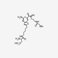 CCCN(CCCNC(=O)CC(C)(C)C)C(=O)C1=Cc2sc(CCCCCNC(=O)C(N)CS(=O)(=O)O)cc2N=C(N)C1